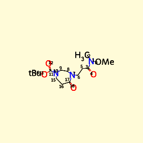 CON(C)C(=O)CCN1CCN(C(=O)OC(C)(C)C)CCC1=O